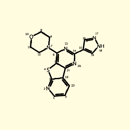 c1cnc2sc3c(N4CCOCC4)nc(-c4cn[nH]c4)nc3c2c1